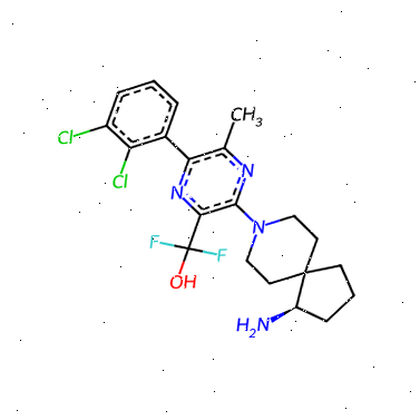 Cc1nc(N2CCC3(CCC[C@H]3N)CC2)c(C(O)(F)F)nc1-c1cccc(Cl)c1Cl